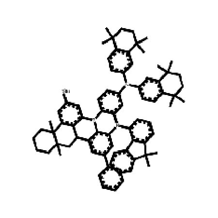 CC(C)(C)c1cc2c3c(c1)C1(C)CCCCC1(C)CC3c1cc(-c3ccccc3)cc3c1B2c1ccc(N(c2ccc4c(c2)C(C)(C)CCC4(C)C)c2ccc4c(c2)C(C)(C)CCC4(C)C)cc1N3c1cccc2c1-c1ccccc1C2(C)C